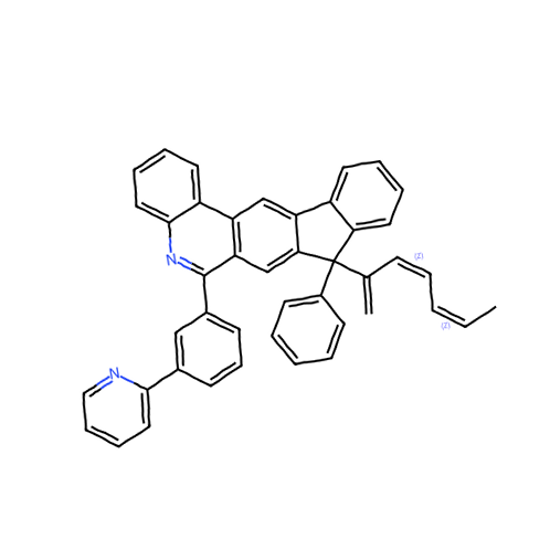 C=C(/C=C\C=C/C)C1(c2ccccc2)c2ccccc2-c2cc3c(cc21)c(-c1cccc(-c2ccccn2)c1)nc1ccccc13